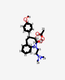 COc1ccc([C@@H]2Cc3ccccc3N(CCN(C)C)C(=O)[C@H]2OC(C)=O)cc1